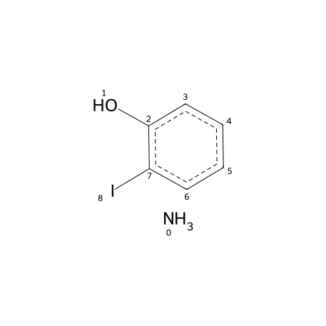 N.Oc1ccccc1I